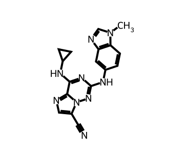 Cn1cnc2cc(Nc3nc(NC4CC4)c4ncc(C#N)n4n3)ccc21